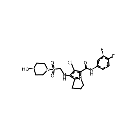 O=C(Nc1ccc(F)c(F)c1)c1c(Cl)c(NCS(=O)(=O)N2CCC(O)CC2)c2n1CCC2